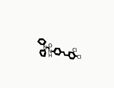 O=C(Nc1ccc(CCc2ccc(Cl)c(Cl)c2)cc1)N(c1ccccc1)c1ccccc1